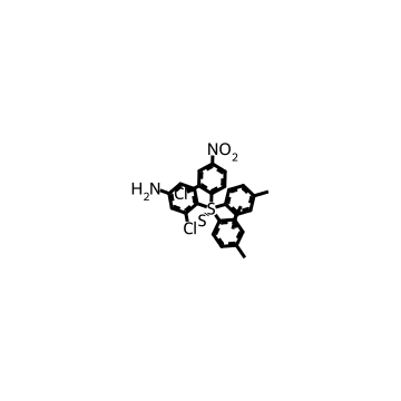 Cc1ccc(S(=S)(c2ccc(C)cc2C)(c2ccc(N)cc2Cl)c2ccc([N+](=O)[O-])cc2Cl)c(C)c1